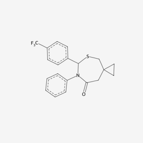 O=C1CC2(CC2)CSC(c2ccc(C(F)(F)F)cc2)N1c1ccccc1